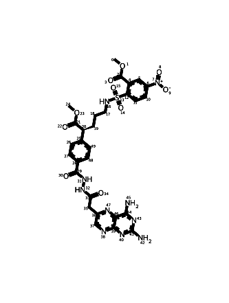 COC(=O)c1cc([N+](=O)[O-])ccc1S(=O)(=O)NCCC[C@H](C(=O)OC)c1ccc(C(=O)NNC(=O)Cc2cnc3nc(N)nc(N)c3n2)cc1